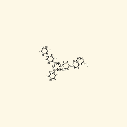 CC1=CC=C(c2ccc(C3=NC(c4ccc(-c5ccccc5)cc4)=NC(c4ccccc4)N3)cc2)CN1C